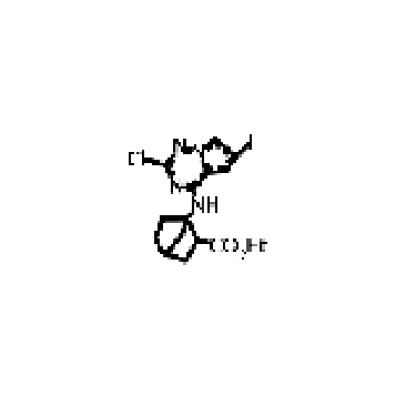 CCOC(=O)C1CC2CCC1(Nc1nc(Cl)nn3cc(I)cc13)CC2